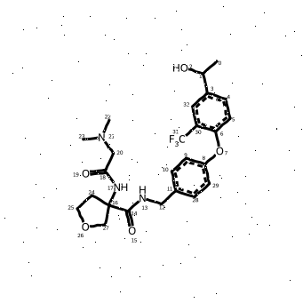 CC(O)c1ccc(Oc2ccc(CNC(=O)C3(NC(=O)CN(C)C)CCOC3)cc2)c(C(F)(F)F)c1